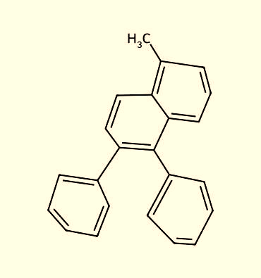 Cc1cccc2c(-c3ccccc3)c(-c3ccccc3)ccc12